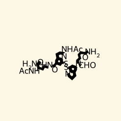 CC(=O)N[C@H](CCCNC(=O)c1cc(SSc2cc(N(C=O)CCC[C@@H](NC(C)=O)C(N)=O)cc3cccnc23)c2ncccc2c1)C(N)=O